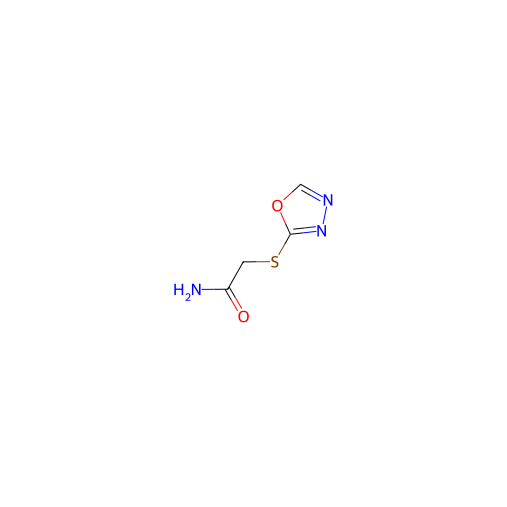 NC(=O)CSc1nnco1